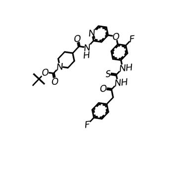 CC(C)(C)OC(=O)N1CCC(C(=O)Nc2cc(Oc3ccc(NC(=S)NC(=O)Cc4ccc(F)cc4)cc3F)ccn2)CC1